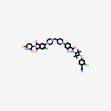 CC1(C)[C@H](NC(=O)c2ccc(N3CCC(CN4CCN(c5cc6c(cc5F)C(=O)N(C5CCC(=O)NC5=O)C6=O)CC4)CC3)cc2Cl)C(C)(C)[C@H]1Oc1ccc(C#N)c(Cl)c1